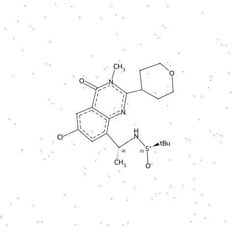 C[C@@H](N[S@+]([O-])C(C)(C)C)c1cc(Cl)cc2c(=O)n(C)c(C3CCOCC3)nc12